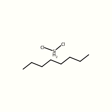 CCCCCCCC.Cl[SiH2]Cl